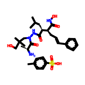 CC(C)C[C@@H](C(=O)NN(CC(C)(C)CO)C(=O)[C@@H](C)N)[C@H](CC=Cc1ccccc1)C(=O)NO.Cc1ccc(S(=O)(=O)O)cc1